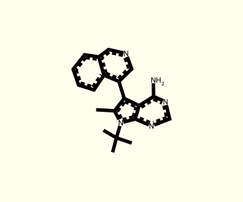 Cc1c(-c2cncc3ccccc23)c2c(N)ncnc2n1C(C)(C)C